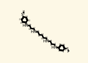 CSc1ccc(NCCCNCCCCCNCCCNc2ccc(SC)cc2)cc1